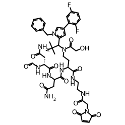 CC(C)(C)C(c1cc(-c2cc(F)ccc2F)cn1Cc1ccccc1)N(CCC(NC(=O)C(CC(N)=O)NC(=O)[C@@H](CC(N)=O)NC=O)C(=O)NCCNC(=O)CN1C(=O)C=CC1=O)C(=O)CO